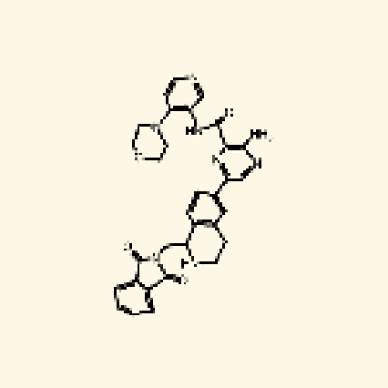 Nc1ncc(-c2ccc3c(c2)CCNC3CN2C(=O)c3ccccc3C2=O)nc1C(=O)Nc1cnccc1N1CCOCC1